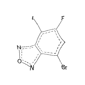 Fc1cc(Br)c2nonc2c1I